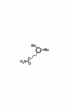 CC(C)(C)c1cc(CCCOC(N)=O)cc(C(C)(C)C)c1